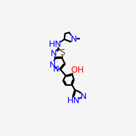 CN1CCC(Nc2nc3nnc(-c4ccc(-c5cn[nH]c5)cc4O)cc3s2)C1